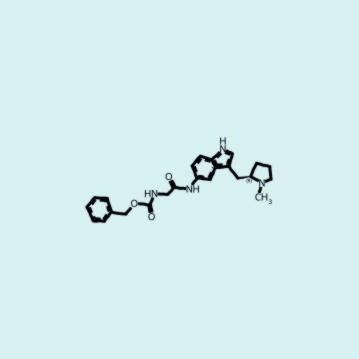 CN1CCC[C@@H]1Cc1c[nH]c2ccc(NC(=O)CNC(=O)OCc3ccccc3)cc12